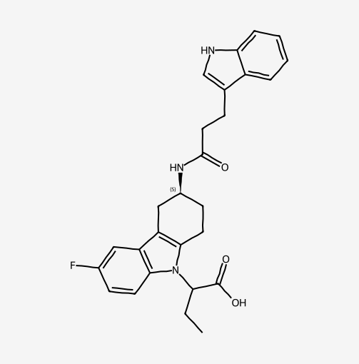 CCC(C(=O)O)n1c2c(c3cc(F)ccc31)C[C@@H](NC(=O)CCc1c[nH]c3ccccc13)CC2